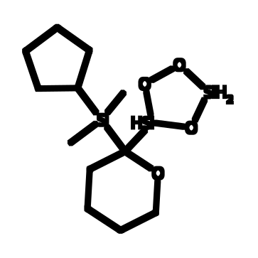 C[Si](C)(C1CCCC1)C1([SiH]2OO[SiH2]O2)CCCCO1